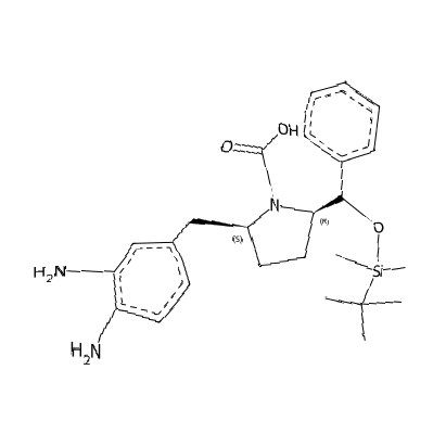 CC(C)(C)[Si](C)(C)OC(c1ccccc1)[C@H]1CC[C@@H](Cc2ccc(N)c(N)c2)N1C(=O)O